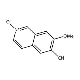 COc1cc2c[n+]([O-])ccc2cc1C#N